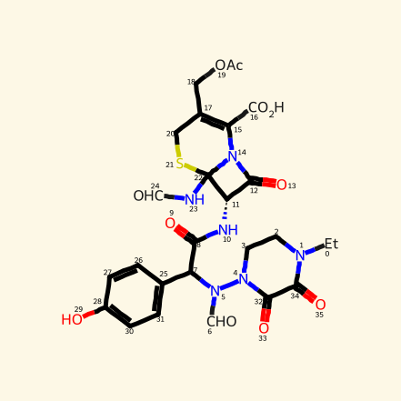 CCN1CCN(N(C=O)C(C(=O)N[C@H]2C(=O)N3C(C(=O)O)=C(COC(C)=O)CSC23NC=O)c2ccc(O)cc2)C(=O)C1=O